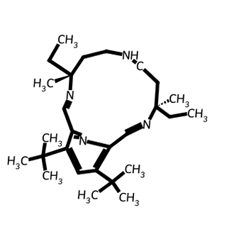 CC[C@]1(C)CCNCC[C@@](C)(CC)/N=C/c2nc(c(C(C)(C)C)cc2C(C)(C)C)/C=N/1